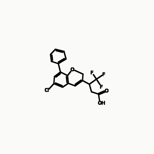 O=C(O)CC(C1=Cc2cc(Cl)cc(-c3ccccc3)c2OC1)C(F)(F)F